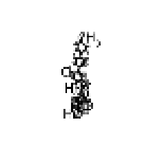 Cc1ccc(-c2ccc(-c3cc4nc(O[C@@H]5CO[C@H]6[C@@H]5OC[C@H]6O)[nH]c4cc3Cl)cc2)cc1